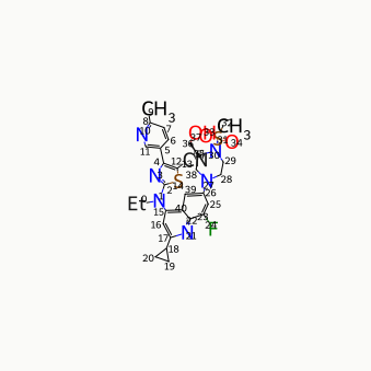 CCN(c1nc(-c2ccc(C)nc2)c(C#N)s1)c1cc(C2CC2)nc2c(F)cc(N3CCN(S(C)(=O)=O)[C@H](CO)C3)cc12